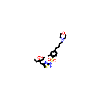 CCC(O)(CC)Cc1csc(NS(=O)(=O)c2ccc(CCCCN3CCOCC3)cc2C)n1